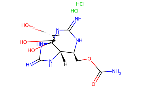 Cl.Cl.N=C1N[C@H]2[C@H](COC(N)=O)NC(=N)N3C[C@@H](O)C(O)(O)[C@]23N1